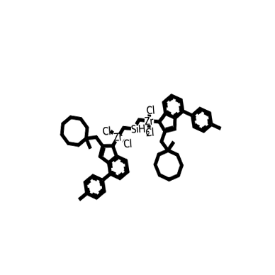 Cc1ccc(-c2cccc3c2C=C(CC2(C)CCCCCCC2)[CH]3[Zr]([Cl])([Cl])[CH2][SiH2][CH2][Zr]([Cl])([Cl])[CH]2C(CC3(C)CCCCCCC3)=Cc3c(-c4ccc(C)cc4)cccc32)cc1